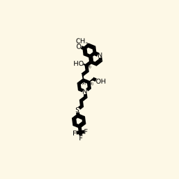 COc1ccc2nccc([C@H](O)CC[C@@H]3CCN(CCCSc4ccc(C(F)(F)F)cc4)C[C@@H]3CO)c2c1